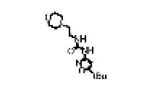 CC(C)(C)c1cc(NC(=O)NCCN2CCOCC2)no1